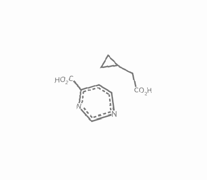 O=C(O)CC1CC1.O=C(O)c1ccncn1